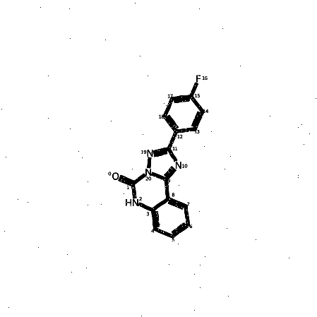 O=c1[nH]c2ccccc2c2nc(-c3ccc(F)cc3)nn12